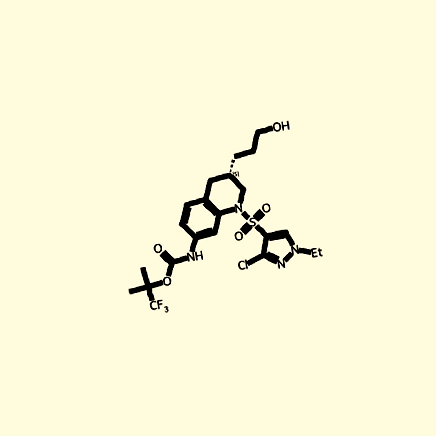 CCn1cc(S(=O)(=O)N2C[C@@H](CCCO)Cc3ccc(NC(=O)OC(C)(C)C(F)(F)F)cc32)c(Cl)n1